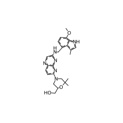 COc1ccc(CNc2cnc3ccc(N4CC(CO)OC(C)(C)C4)nc3n2)c2c(C)c[nH]c12